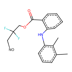 Cc1cccc(Nc2ccccc2C(=O)OCC(F)(F)CN=O)c1C